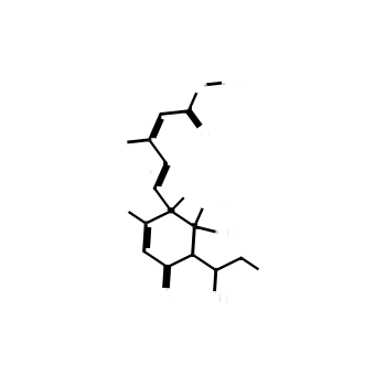 CCC(C)C1C(=O)C=C(C)C(O)(/C=C/C(C)=C\C(=O)OC)C1(C)C